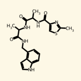 Cc1nc(C(=O)NC(C)C(=O)NC(C)C(=O)NCc2cccc3[nH]ccc23)cs1